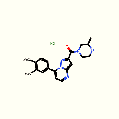 COc1ccc(-c2ccnc3cc(C(=O)N4CCNC(C)C4)nn23)cc1OC.Cl